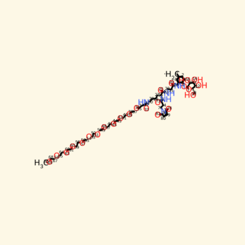 [CH2]c1ccc(O[C@H]2O[C@H](CO)[C@@H](O)[C@H](O)[C@@H]2O)c(NC(=O)CCNC(=O)[C@H](CCCCNC(=O)CCOCCOCCOCCOCCOCCOCCOCCOCCOCCOCCOCCOC)NC(=O)CCN2C(=O)C=CC2=O)c1